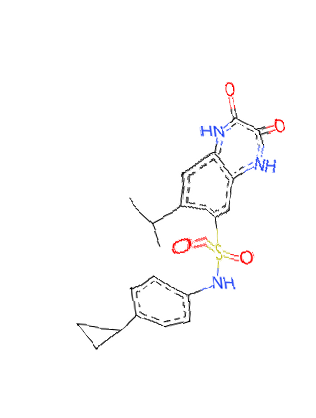 CC(C)c1cc2[nH]c(=O)c(=O)[nH]c2cc1S(=O)(=O)Nc1ccc(C2CC2)cc1